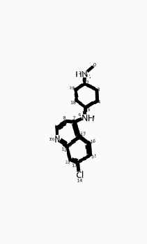 CNC1CCC(Nc2ccnc3cc(Cl)ccc23)CC1